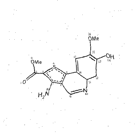 COC(=O)c1sc2c(c1N)C=NC1CC(O)=C(OC)C=C21